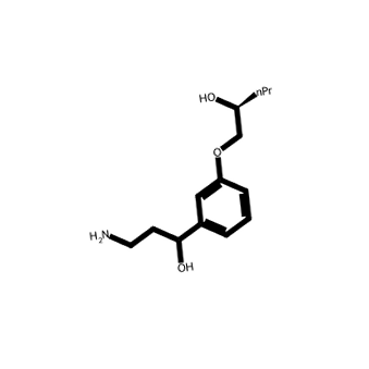 CCC[C@H](O)COc1cccc(C(O)CCN)c1